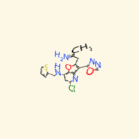 C[C@H](N)Cc1oc2c(NCc3cccs3)cc(Cl)nc2c1-c1nnco1